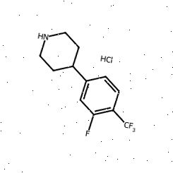 Cl.Fc1cc(C2CCNCC2)ccc1C(F)(F)F